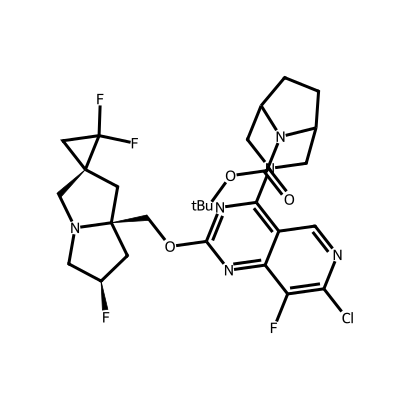 CC(C)(C)OC(=O)N1C2CCC1CN(c1nc(OC[C@@]34C[C@@H](F)CN3C[C@]3(CC3(F)F)C4)nc3c(F)c(Cl)ncc13)C2